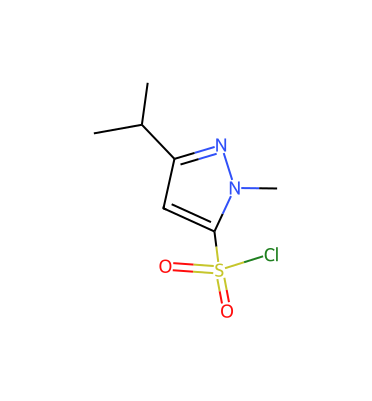 CC(C)c1cc(S(=O)(=O)Cl)n(C)n1